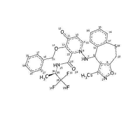 Cc1noc2c1C(Nn1ccc(=O)c(OCc3ccccc3)c1C(=O)N[C@H](C)C(F)(F)F)c1ccccc1SC2